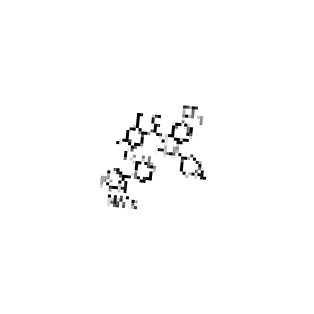 CNc1nccc(-c2cccnc2Oc2cc(C(=O)Nc3cc(C(F)(F)F)ccc3N(C)C3CCN(C)CC3)c(F)cc2C)n1